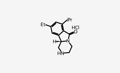 CCc1cc(C(C)C)c2c(c1)[C@H]1CNCCN1C2=O.Cl